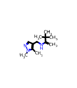 C=C(NCc1cnn(C)c1C)C(C)(C)C